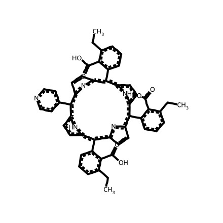 CCc1cccc(-c2c3nc(c(-c4cccc(CC)c4C(=O)O)c4ccc([nH]4)c(-c4cccc(CC)c4C(=O)O)c4nc(c(-c5ccncc5)c5ccc2[nH]5)C=C4)C=C3)c1C(=O)O